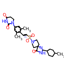 Cc1cc(N2CCC(=O)NC2=O)cc(C)c1/C=C/S(=O)(=O)N1CCC2(CC1)N=C(C1CCC(C)CC1)NC2=O